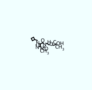 Cn1c(=O)n(CCOCC(C)(C)O)c(=O)c2c1ncn2CC1CCC1